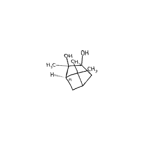 CC1(C)C2CC(O)C(C)(O)[C@@H]1C2